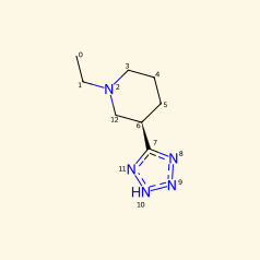 CCN1CCC[C@@H](c2nn[nH]n2)C1